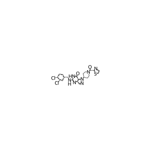 O=C(c1nccs1)N1CCC(n2ncc3nc(NCc4ccc(Cl)c(Cl)c4)[nH]c(=O)c32)CC1